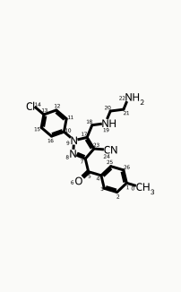 Cc1ccc(C(=O)c2nn(-c3ccc(Cl)cc3)c(CNCCN)c2C#N)cc1